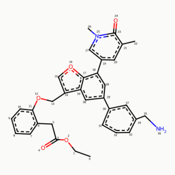 CCOC(=O)Cc1ccccc1OCc1coc2c(-c3cc(C)c(=O)n(C)c3)cc(-c3cccc(CN)c3)cc12